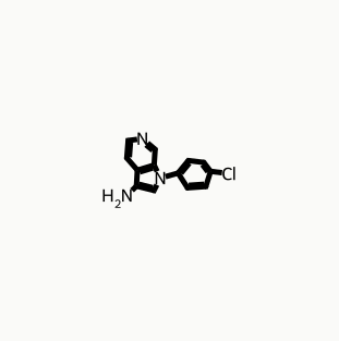 Nc1cn(-c2ccc(Cl)cc2)c2cnccc12